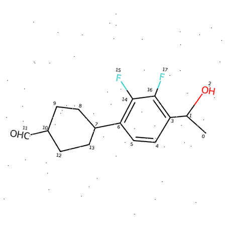 CC(O)c1ccc(C2CCC(C=O)CC2)c(F)c1F